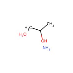 CC(C)O.N.O